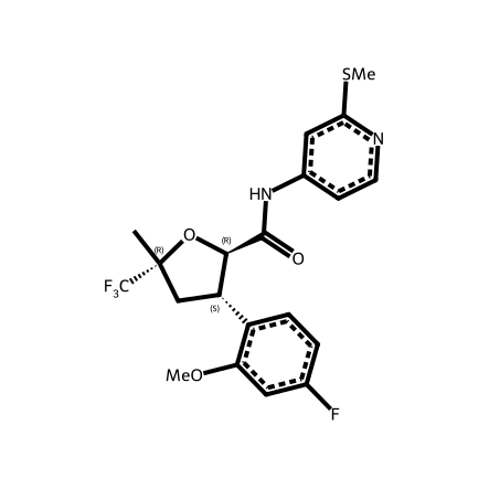 COc1cc(F)ccc1[C@@H]1C[C@](C)(C(F)(F)F)O[C@H]1C(=O)Nc1ccnc(SC)c1